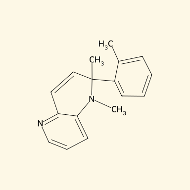 Cc1ccccc1C1(C)C=Cc2ncccc2N1C